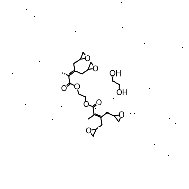 CC(C(=O)OCCOC(=O)C(C)=C(CC1CO1)CC1CO1)=C(CC1CO1)CC1CO1.OCCO